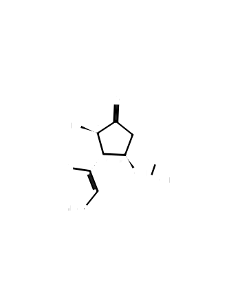 CC(=O)O.CCCCCCC=C(O)[C@H]1[C@H](O)CC(=O)[C@@H]1CC